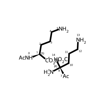 CC(=O)N[C@@H](CCCN)C(=O)O.CC(=O)[C@](N)(CCCN)C(=O)O